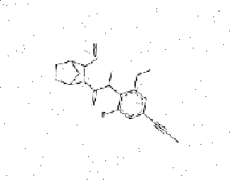 C=CC1C2CCC(C2)C1C(=C)C(C)c1c(F)cc(C#CC)cc1CC